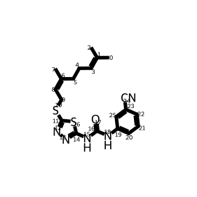 CC(C)=CCCC(C)=CCSc1nnc(NC(=O)Nc2cccc(C#N)c2)s1